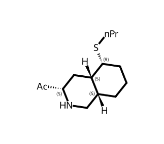 CCCS[C@@H]1CCC[C@@H]2CN[C@H](C(C)=O)C[C@@H]21